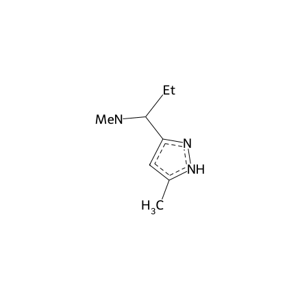 CCC(NC)c1cc(C)[nH]n1